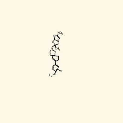 CC1(CN2CCc3nc(-c4ccc(OC(F)(F)F)c(F)c4)ccc3C2)Cn2cc([N+](=O)[O-])nc2O1